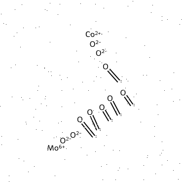 [C]=O.[C]=O.[C]=O.[C]=O.[C]=O.[C]=O.[Co+2].[Mo+6].[O-2].[O-2].[O-2].[O-2]